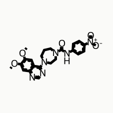 COc1cc2ncnc(N3CCCN(C(=O)Nc4ccc([N+](=O)[O-])cc4)CC3)c2cc1OC